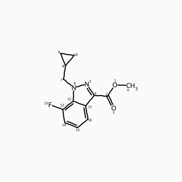 COC(=O)c1nn(CC2CC2)c2c(F)cccc12